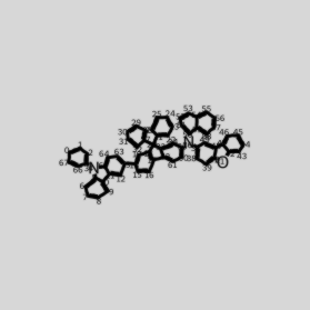 c1ccc(-n2c3ccccc3c3cc(-c4ccc5c(c4)C(c4ccccc4)(c4ccccc4)c4cc(N(c6ccc7oc8ccccc8c7c6)c6cccc7ccccc67)ccc4-5)ccc32)cc1